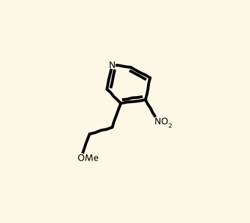 COCCc1cnccc1[N+](=O)[O-]